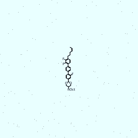 C/C=C\CCCc1ccc(-c2ccc(-c3ccc(C4OCC(CCCCCCCC)CO4)cc3F)cc2)c(F)c1F